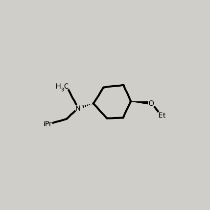 CCO[C@H]1CC[C@H](N(C)CC(C)C)CC1